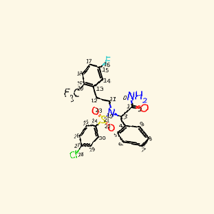 NC(=O)[C@@H](c1ccccc1)N(CCc1cc(F)ccc1C(F)(F)F)S(=O)(=O)c1ccc(Cl)cc1